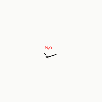 CBC.O